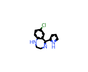 Clc1ccc2c(c1)C(c1ccc[nH]1)=NCCN2